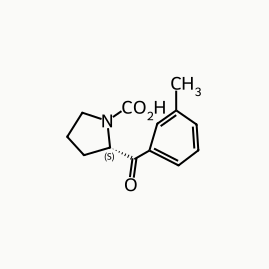 Cc1cccc(C(=O)[C@@H]2CCCN2C(=O)O)c1